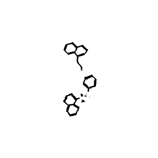 O=S(=O)(Nc1cccc(OCCc2cccc3ccccc23)c1)c1cccc2ccccc12